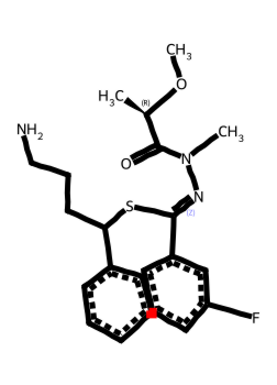 CO[C@H](C)C(=O)N(C)/N=C(\SC(CCCN)c1ccccc1)c1cccc(F)c1